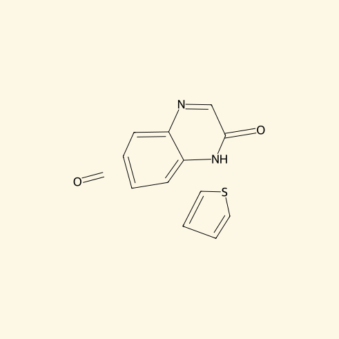 C=O.O=c1cnc2ccccc2[nH]1.c1ccsc1